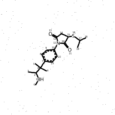 CBC(C)C(C)(C)c1ccc(N2C(=O)CC(SC(C)C)C2=O)cc1